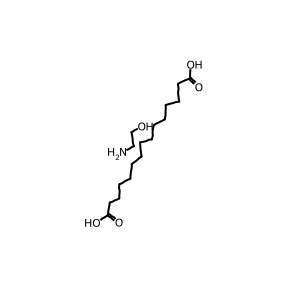 NCCO.O=C(O)CCCCCCCCCCCCCC(=O)O